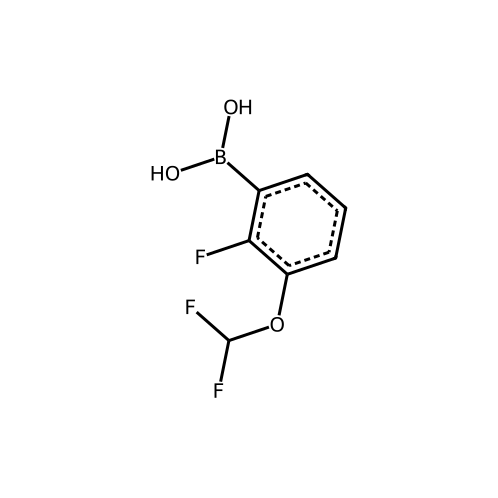 OB(O)c1cccc(OC(F)F)c1F